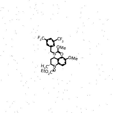 CCOC(=O)ON1c2ccc(OC)cc2[C@@H](N(Cc2cc(C(F)(F)F)cc(C(F)(F)F)c2)C(=O)OC)C[C@H]1C